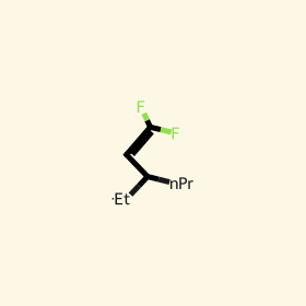 C[CH]C(C=C(F)F)CCC